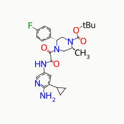 C[C@H]1CN(C(=O)C(=O)Nc2cnc(N)c(C3CC3)c2)[C@H](c2ccc(F)cc2)CN1C(=O)OC(C)(C)C